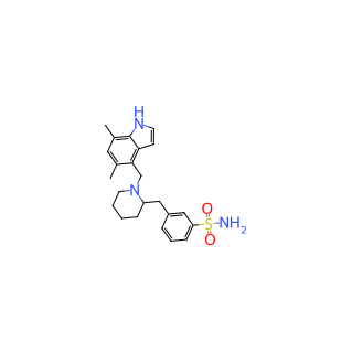 Cc1cc(C)c2[nH]ccc2c1CN1CCCCC1Cc1cccc(S(N)(=O)=O)c1